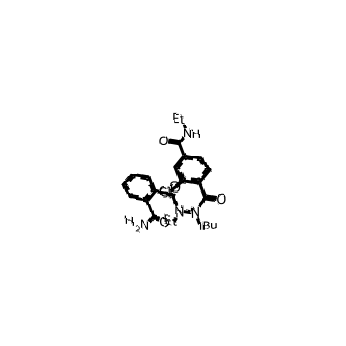 CCNC(=O)c1ccc(C(=O)N(C(C)CC)N(CC)C(=O)c2ccccc2C(N)=O)c(Cl)c1